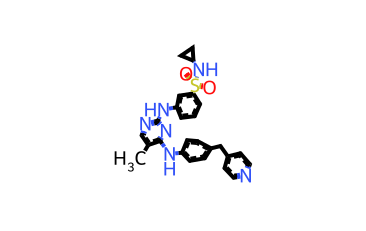 Cc1cnc(Nc2cccc(S(=O)(=O)NC3CC3)c2)nc1Nc1ccc(Cc2ccncc2)cc1